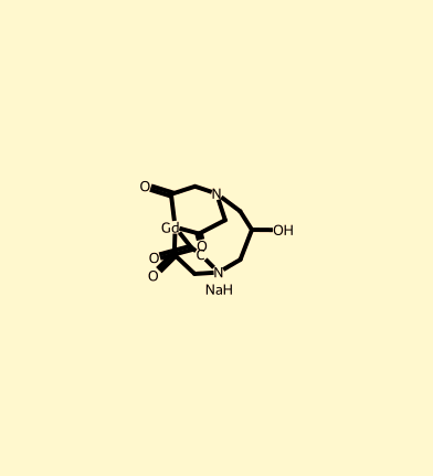 O=[C]1CN2C[C](=O)[Gd]13[C](=O)CN(C[C]3=O)CC(O)C2.[NaH]